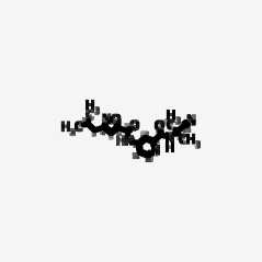 CC(C)Cc1cc(C(=O)Nc2ccnc(C(=O)NC(C)(C)C#N)c2)on1